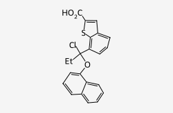 CCC(Cl)(Oc1cccc2ccccc12)c1cccc2cc(C(=O)O)sc12